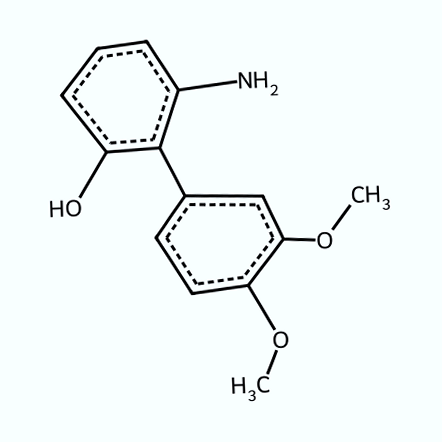 COc1ccc(-c2c(N)cccc2O)cc1OC